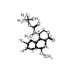 COc1nc2c(c3cc(F)c(F)cc13)[C@@H](N(C)C(=O)OC(C)(C)C)COC2=O